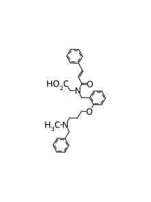 CN(CCCOc1ccccc1CN(CC(=O)O)C(=O)C=Cc1ccccc1)Cc1ccccc1